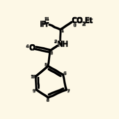 CCOC(=O)C(NC(=O)c1ccccc1)C(C)C